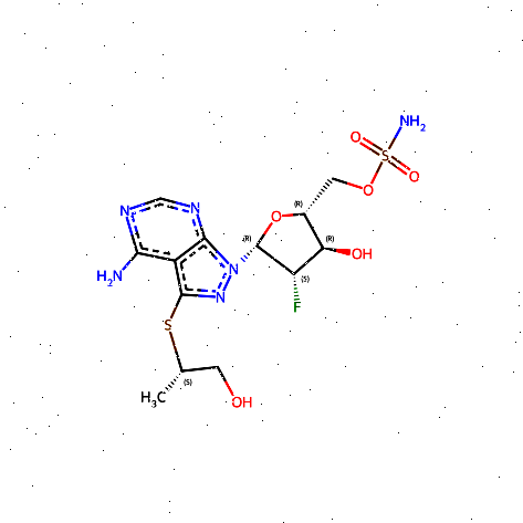 C[C@@H](CO)Sc1nn([C@@H]2O[C@H](COS(N)(=O)=O)[C@@H](O)[C@@H]2F)c2ncnc(N)c12